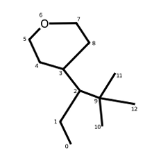 CCC(C1CCOCC1)C(C)(C)C